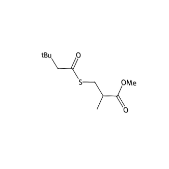 COC(=O)C(C)CSC(=O)CC(C)(C)C